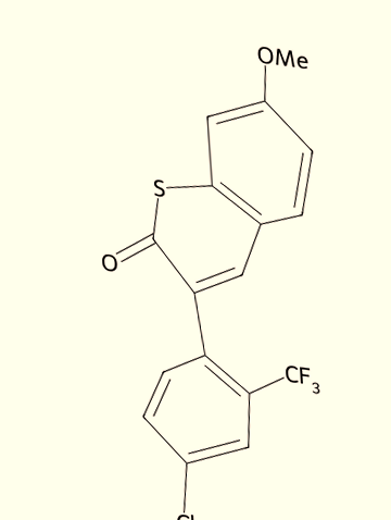 COc1ccc2cc(-c3ccc(Cl)cc3C(F)(F)F)c(=O)sc2c1